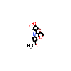 CC(=O)c1ccc2c(c1)C1OCCCC1C(c1cc3c(cc1Br)OCO3)N2